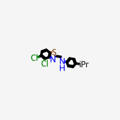 CC(C)c1ccc(NCc2nc3c(Cl)c(Cl)ccc3s2)cc1